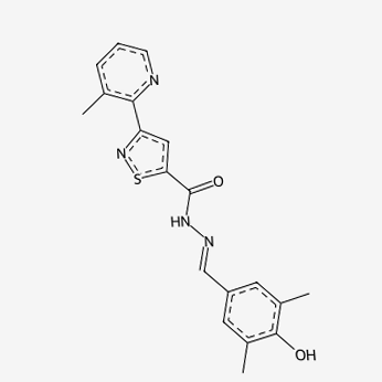 Cc1cccnc1-c1cc(C(=O)N/N=C/c2cc(C)c(O)c(C)c2)sn1